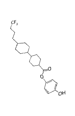 O=C(Oc1ccc(O)cc1)C1CCC(C2CCC(CCCC(F)(F)F)CC2)CC1